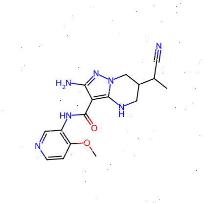 COc1ccncc1NC(=O)c1c(N)nn2c1NCC(C(C)C#N)C2